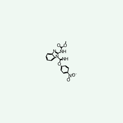 COC(=O)Nc1nc2ccccc2n1C(=N)Oc1ccc([N+](=O)[O-])cc1